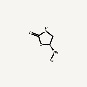 CC(=O)N[C@@H]1CNC(=O)O1